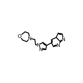 C1=CC2C=C(c3cnn(CCN4CCOCC4)c3)C=NC2=N1